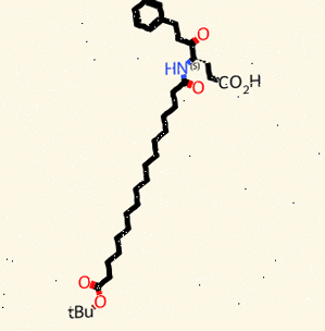 CC(C)(C)OC(=O)CCCCCCCCCCCCCCCCC(=O)N[C@@H](CCC(=O)O)C(=O)CCc1ccccc1